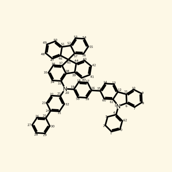 C1=CCCC(n2c3ccccc3c3ccc(-c4ccc(N(c5ccc(-c6ccccc6)cc5)c5cccc6c5-c5ccccc5C65c6ccccc6-c6ccccc65)cc4)cc32)=C1